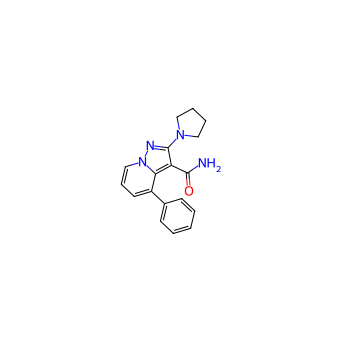 NC(=O)c1c(N2CCCC2)nn2cccc(-c3ccccc3)c12